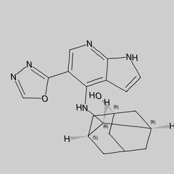 O[C@@]12CC3C[C@H](C1)[C@H](Nc1c(-c4nnco4)cnc4[nH]ccc14)[C@@H](C3)C2